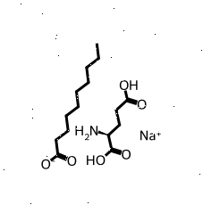 CCCCCCCCCC(=O)[O-].N[C@@H](CCC(=O)O)C(=O)O.[Na+]